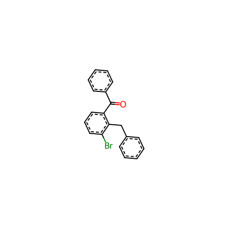 O=C(c1ccccc1)c1cccc(Br)c1Cc1ccccc1